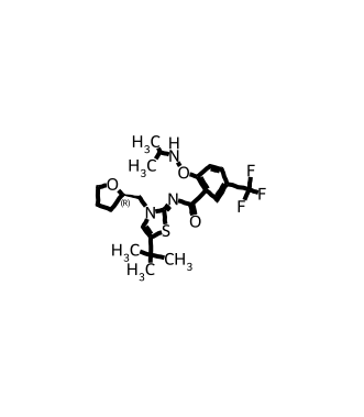 CC(C)NOc1ccc(C(F)(F)F)cc1C(=O)N=c1sc(C(C)(C)C)cn1C[C@H]1CCCO1